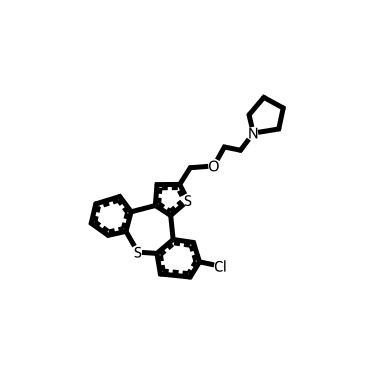 Clc1ccc2c(c1)-c1sc(COCCN3CCCC3)cc1-c1ccccc1S2